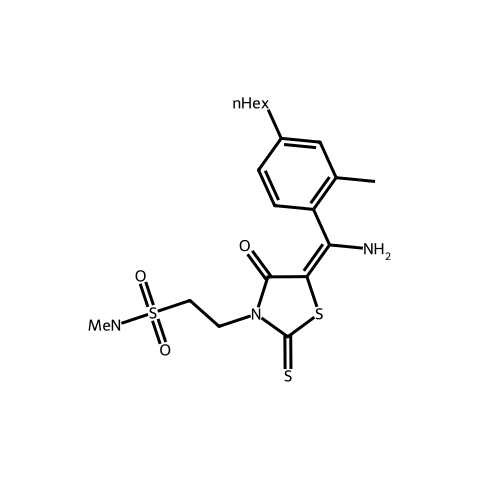 CCCCCCc1ccc(C(N)=C2SC(=S)N(CCS(=O)(=O)NC)C2=O)c(C)c1